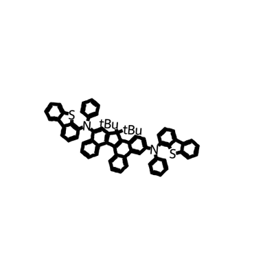 CC(C)(C)C1(C(C)(C)C)c2cc(N(c3ccccc3)c3cccc4c3sc3ccccc34)c3ccccc3c2-c2c1c1ccc(N(c3ccccc3)c3cccc4c3sc3ccccc34)cc1c1ccccc21